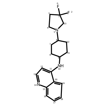 FC1(F)CCN(C2CCC(Nc3ccnc4ccccc34)CC2)C1